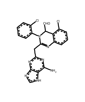 Nc1nc(CC2=Nc3cccc(Cl)c3C(C=O)N2c2ccccc2Cl)nc2nc[nH]c12